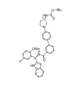 COc1ccc(F)cc1[C@@H](NC(=O)c1cccc(-c2ccc(N3CC[C@@H](NC(=O)OC(C)(C)C)C3)cc2)c1)c1cc2ccccc2[nH]1